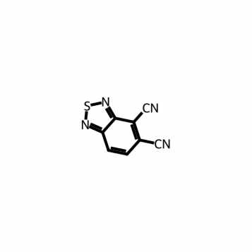 N#Cc1ccc2nsnc2c1C#N